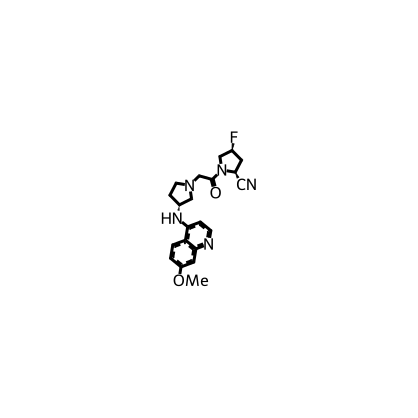 COc1ccc2c(N[C@@H]3CCN(CC(=O)N4C[C@@H](F)C[C@H]4C#N)C3)ccnc2c1